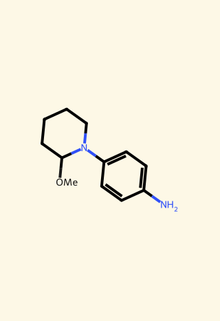 COC1CCCCN1c1ccc(N)cc1